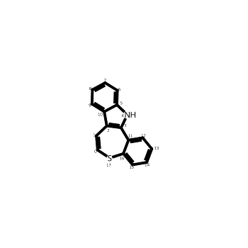 C1=Cc2c([nH]c3ccccc23)-c2ccccc2S1